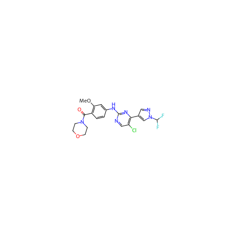 COc1cc(Nc2ncc(Cl)c(-c3cnn(C(F)F)c3)n2)ccc1C(=O)N1CCOCC1